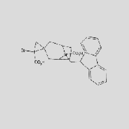 CCC1(C(=O)O)CC12CC1CCC(C2)[N+]1(CC1c2ccccc2-c2ccccc21)C(=O)O